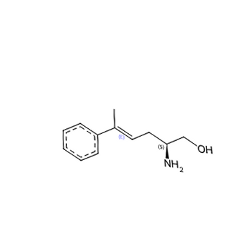 C/C(=C\C[C@H](N)CO)c1ccccc1